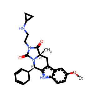 CCOc1ccc2[nH]c3c(c2c1)C[C@@]1(C)C(=O)N(CCNC2CC2)C(=O)N1[C@@H]3C1C=CC=CC1